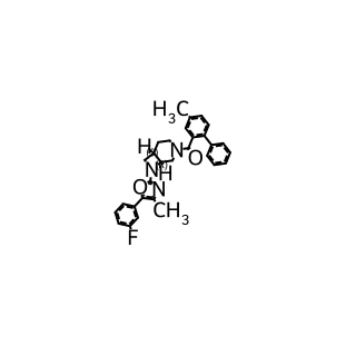 Cc1ccc(-c2ccccc2)c(C(=O)N2CC[C@H]3CN(c4nc(C)c(-c5cccc(F)c5)o4)[C@H]3C2)c1